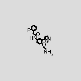 Cn1nccc1-c1cc(NC(=O)Cc2ccccc2F)ccc1OCCN